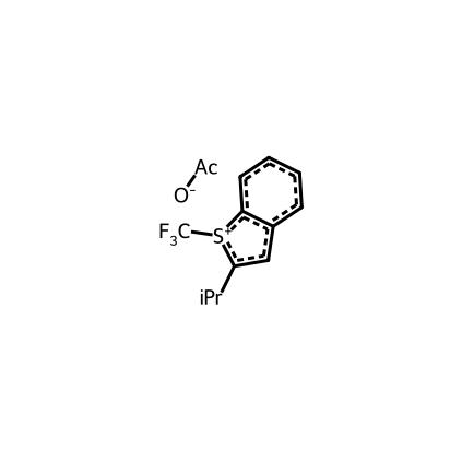 CC(=O)[O-].CC(C)c1cc2ccccc2[s+]1C(F)(F)F